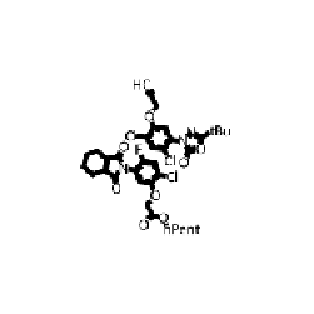 C#CCOc1cc(-n2nc(C(C)(C)C)oc2=O)c(Cl)cc1Cl.CCCCCOC(=O)COc1cc(N2C(=O)C3=C(CCCC3)C2=O)c(F)cc1Cl